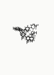 CN1CCC(c2ccc(Nc3ncc(F)c(-c4cc(F)c5nccc(C(C)(C)O)c5c4)n3)nc2)CC1.Cl.Cl.Cl